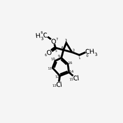 CCC1CC1(C(=O)OC)c1ccc(Cl)c(Cl)c1